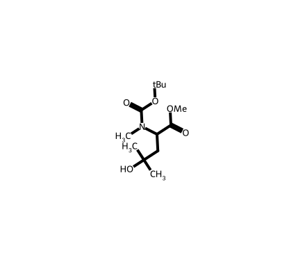 COC(=O)C(CC(C)(C)O)N(C)C(=O)OC(C)(C)C